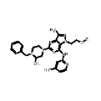 CCOCCn1nc(C)c2nc(N3CCN(Cc4ccccc4)C(C)C3)nc(Nc3cc(C)ccn3)c21